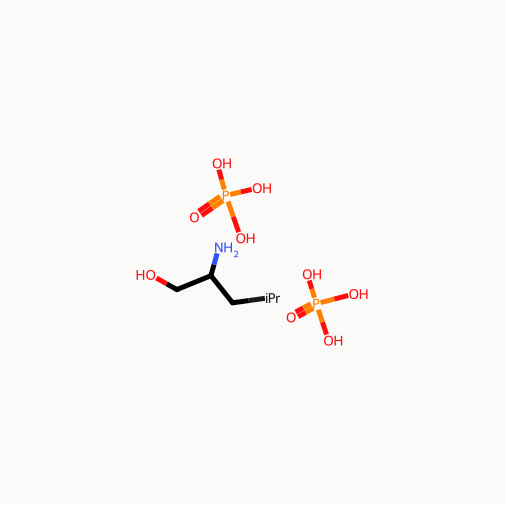 CC(C)CC(N)CO.O=P(O)(O)O.O=P(O)(O)O